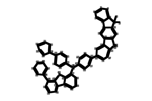 CC1(C)c2ccccc2-c2cc3c(cc21)[nH]c1ccc(-c2ccc(N(c4ccc(-c5ccccc5)cc4)c4cccc5c4sc4c(-c6ccccc6)cccc45)cc2)cc13